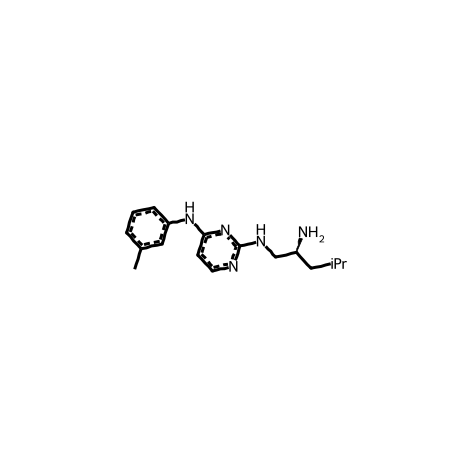 Cc1cccc(Nc2ccnc(NC[C@@H](N)CC(C)C)n2)c1